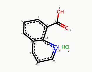 Cl.O=C(O)c1cccc2cccnc12